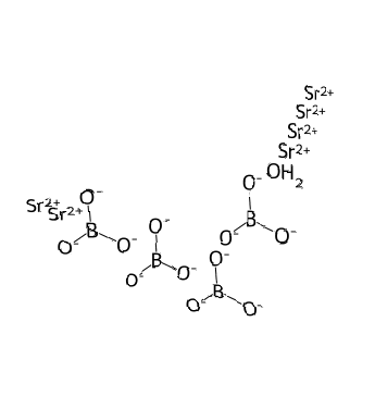 O.[O-]B([O-])[O-].[O-]B([O-])[O-].[O-]B([O-])[O-].[O-]B([O-])[O-].[Sr+2].[Sr+2].[Sr+2].[Sr+2].[Sr+2].[Sr+2]